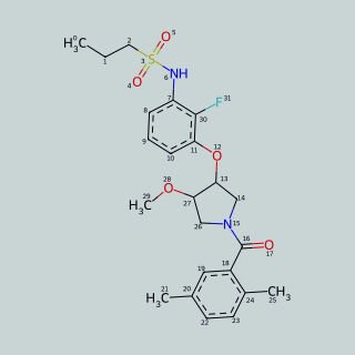 CCCS(=O)(=O)Nc1cccc(OC2CN(C(=O)c3cc(C)ccc3C)CC2OC)c1F